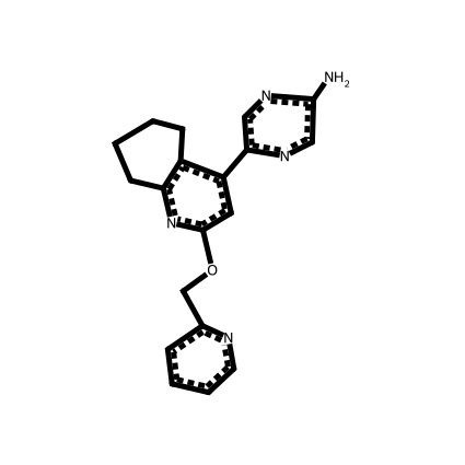 Nc1cnc(-c2cc(OCc3ccccn3)nc3c2CCCC3)cn1